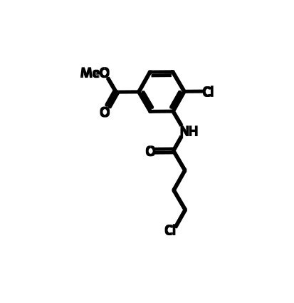 COC(=O)c1ccc(Cl)c(NC(=O)CCCCl)c1